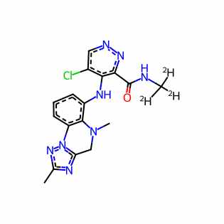 [2H]C([2H])([2H])NC(=O)c1nncc(Cl)c1Nc1cccc2c1N(C)Cc1nc(C)nn1-2